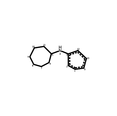 c1ccc(NC2CCCCCC2)cc1